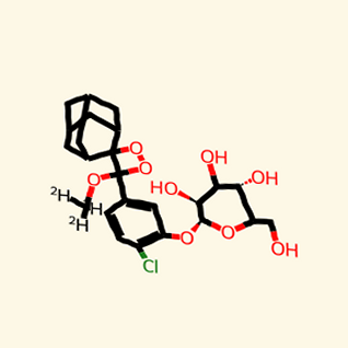 [2H]C([2H])([2H])OC1(c2ccc(Cl)c(O[C@@H]3OC(CO)[C@@H](O)C(O)[C@@H]3O)c2)OOC12C1CC3CC(C1)CC2C3